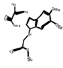 COc1cc2c(cc1OC)C(NCC(=O)OC(C)(C)C)CC2.O=C(O)C(=O)O